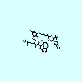 CC(C)(C)[C@H](NC(=O)CCCCCc1cc(F)cc(OC[C@H](CCC(N)=O)NC(=O)[C@@H]2Cc3cccc4c3N2C(=O)CCC4)c1F)C(=O)N1CC[C@@H](O)C1